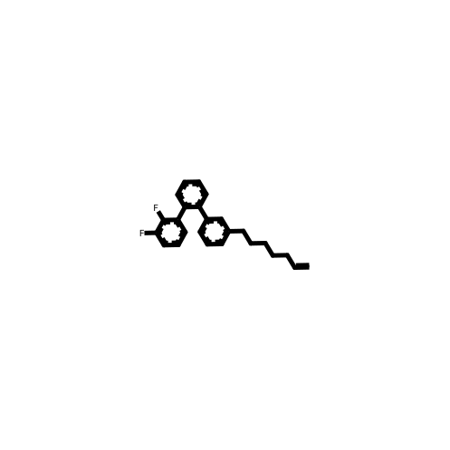 C=CCCCCCc1cccc(-c2ccccc2-c2cccc(F)c2F)c1